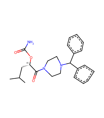 CC(C)C[C@H](OC(N)=O)C(=O)N1CCN(C(c2ccccc2)c2ccccc2)CC1